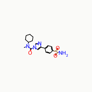 CN(C(=O)n1cnc(-c2ccc(S(N)(=O)=O)cc2)c1)C1CCCCC1